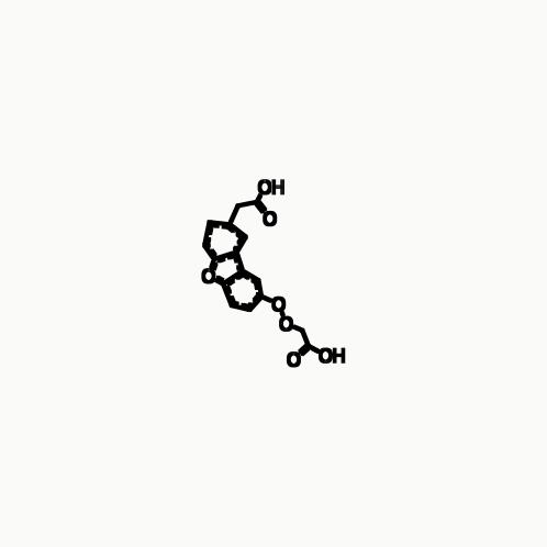 O=C(O)COOc1ccc2oc3ccc(CC(=O)O)cc3c2c1